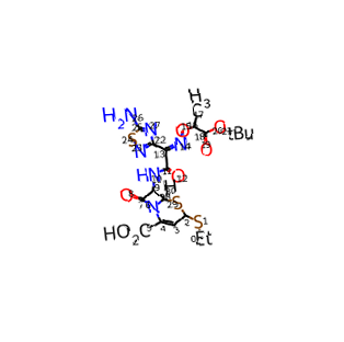 CCSC1C=C(C(=O)O)N2C(=O)C(NC(=O)/C(=N/OC(C)C(=O)OC(C)(C)C)c3nsc(N)n3)[C@H]2S1